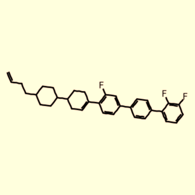 C=CCCC1CCC(C2CC=C(c3ccc(-c4ccc(-c5cccc(F)c5F)cc4)cc3F)CC2)CC1